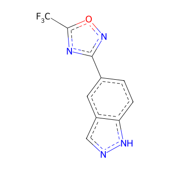 FC(F)(F)c1nc(-c2ccc3[nH]ncc3c2)no1